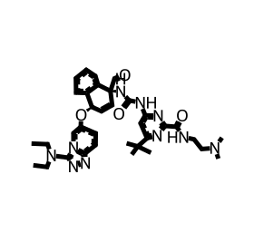 CCN(CC)c1nnc2ccc(O[C@@H]3C=C[C@](C=O)(NC(=O)Nc4cc(C(C)(C)C)nc(C(=O)NCCN(C)C)n4)c4ccccc43)cn12